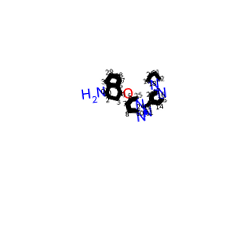 N[C@H]1CC[C@@H](Oc2ccc3nnc(-c4ccnc(N5CCCC5)c4)n3c2)c2ccccc21